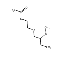 CCC(COCCOC(C)=O)OC